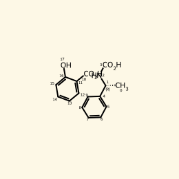 C[C@@H](NC(=O)O)c1ccccc1.O=C(O)c1ccccc1O